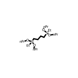 CCCO[Si](CC)(CCCC[Si](CC)(OCCC)OCCC)OCCC